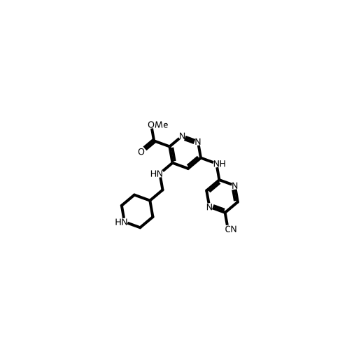 COC(=O)c1nnc(Nc2cnc(C#N)cn2)cc1NCC1CCNCC1